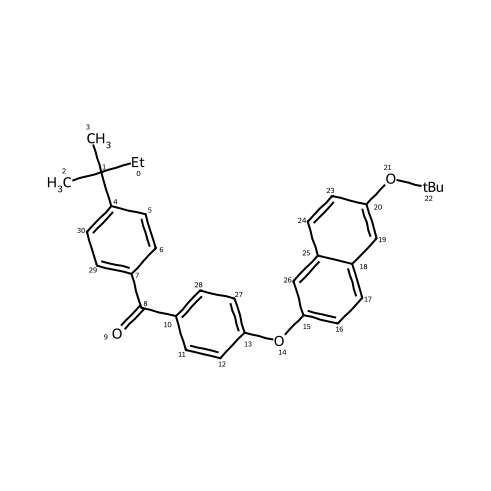 CCC(C)(C)c1ccc(C(=O)c2ccc(Oc3ccc4cc(OC(C)(C)C)ccc4c3)cc2)cc1